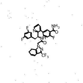 NC(=O)c1cc(-c2cccnc2[C@H](Cc2cc(F)cc(F)c2)NC(=O)Cn2nc(C(F)(F)F)c3c2CCC=C3)ccc1F